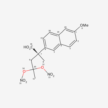 COc1ccc2cc([C@](C)(CC(C)(O[N+](=O)[O-])O[N+](=O)[O-])C(=O)O)ccc2c1